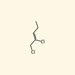 CCC=C(Cl)CCl